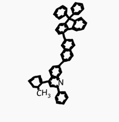 CC1CC=CC=C1c1cc(-c2ccccc2)nc2cc(-c3ccc4ccc(-c5cccc6c5-c5ccccc5C6(c5ccccc5)c5ccccc5)cc4c3)ccc12